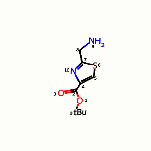 CC(C)(C)OC(=O)c1csc(CN)n1